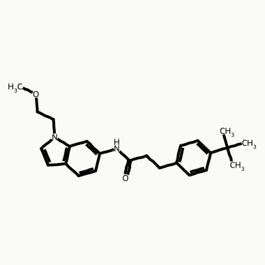 COCCn1ccc2ccc(NC(=O)CCc3ccc(C(C)(C)C)cc3)cc21